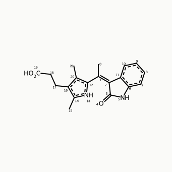 C/C(=C1/C(=O)Nc2ccccc21)c1[nH]c(C)c(CCC(=O)O)c1C